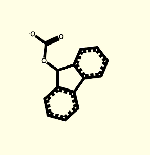 [O]C(=O)OC1c2ccccc2-c2ccccc21